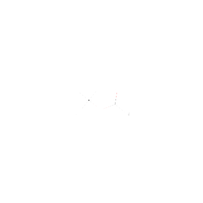 CCCC([O])OC(C)(C)C